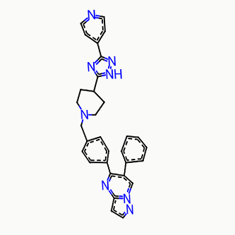 c1ccc(-c2cn3nccc3nc2-c2ccc(CN3CCC(c4nc(-c5ccncc5)n[nH]4)CC3)cc2)cc1